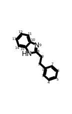 [CH](Cc1ccccc1)c1nc2ccccc2[nH]1